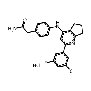 Cl.NC(=O)Cc1ccc(Nc2cc(-c3cc(F)cc(Cl)c3)nc3c2CCC3)cc1